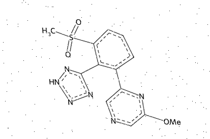 COc1cncc(-c2cccc(S(C)(=O)=O)c2-c2nn[nH]n2)n1